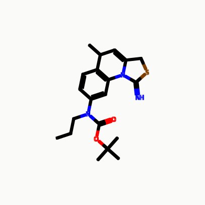 CCCN(C(=O)OC(C)(C)C)c1ccc2c(c1)N1C(=N)SCC1=CC2C